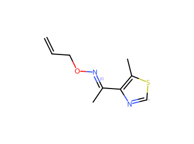 C=CCO/N=C(\C)c1n[c]sc1C